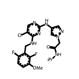 COc1ccc(F)c(CNc2nc(Nc3cnn(CC(=O)NC(C)C)c3)ncc2Cl)c1F